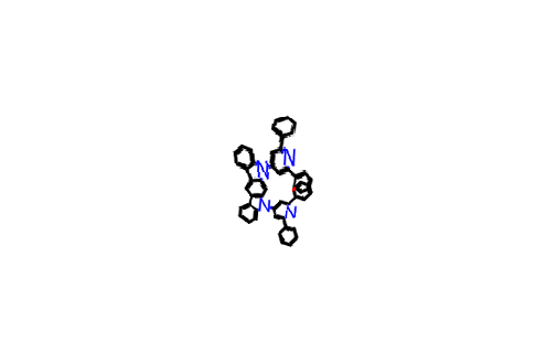 C1=CCCC(c2cc(-n3c4ccccc4c4cc5c6ccccc6n(-c6cc(-c7ccccc7)nc(-c7ccccc7)c6)c5cc43)cc(-c3ccccc3)n2)=C1